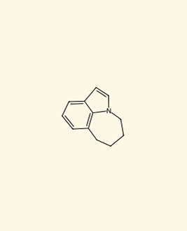 c1cc2c3c(c1)ccn3CCCC2